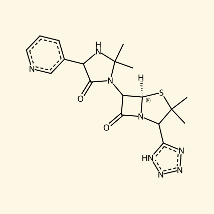 CC1(C)S[C@@H]2C(N3C(=O)C(c4cccnc4)NC3(C)C)C(=O)N2C1c1nnn[nH]1